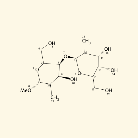 CO[C@@H]1OC(CO)[C@@H](O[C@@H]2OC(CO)[C@@H](O)[C@@H](O)C2C)[C@@H](O)C1C